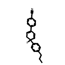 CCCc1ccc(C2(F)C=CC(c3ccc(C#N)cc3)=CC2)cc1